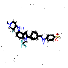 CN1CC[C@H](Nc2cccc3c2cc(-c2ccc(CNc4ccc(S(C)(=O)=O)cc4)cc2)n3CC(F)(F)F)[C@H](F)C1